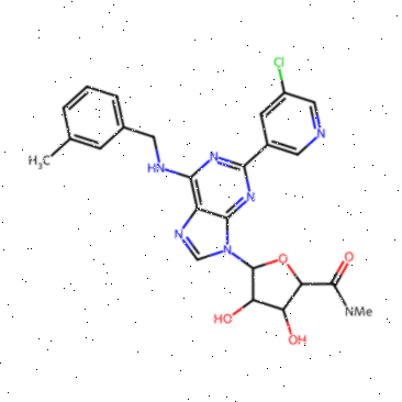 CNC(=O)C1OC(n2cnc3c(NCc4cccc(C)c4)nc(-c4cncc(Cl)c4)nc32)C(O)C1O